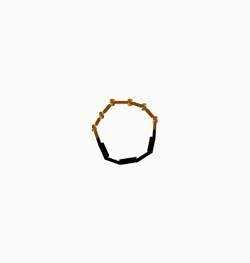 c1cccsssssscc1